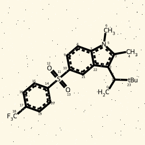 [CH2]C(c1c(C)n(C)c2ccc(S(=O)(=O)c3ccc(C(F)(F)F)cc3)cc12)C(C)(C)C